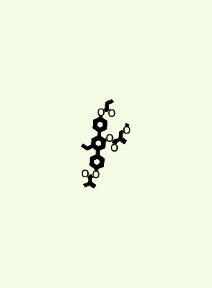 C=C(C)C(=O)Oc1ccc(-c2cc(OC(=O)C(=C)COC)c(-c3ccc(OC(=O)CC)cc3)cc2CC)cc1